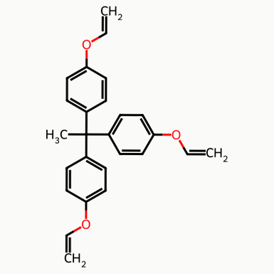 C=COc1ccc(C(C)(c2ccc(OC=C)cc2)c2ccc(OC=C)cc2)cc1